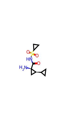 N[C@]1(C(=O)NS(=O)(=O)C2CC2)C[C@@H]1C1CC1